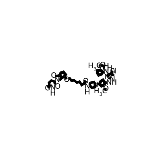 COc1cc(N2CCC(NC(=O)CCCCCCOc3cccc4c3CN(C3CCC(=O)NC3=O)C4=O)CC2)ccc1Nc1ncc(Cl)c(Nc2ccccc2P(C)(C)=O)n1